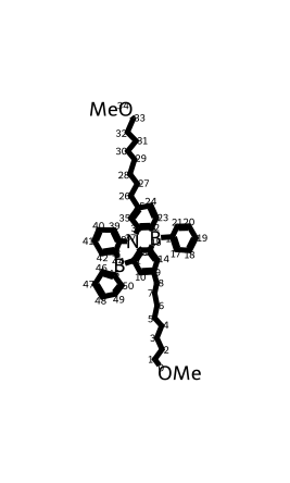 COCCCCCCCCc1cc2c3c(c1)B(c1ccccc1)c1ccc(CCCCCCCCOC)cc1N3c1ccccc1B2c1ccccc1